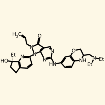 C=CCn1c(=O)c2cnc(Nc3ccc4c(c3)OCC(CN(CC)CC)N4)nc2n1-c1ccc2c(n1)[C@@](O)(CC)CC2